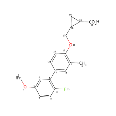 Cc1cc(-c2cc(OC(C)C)ccc2F)ccc1OCC1CC1C(=O)O